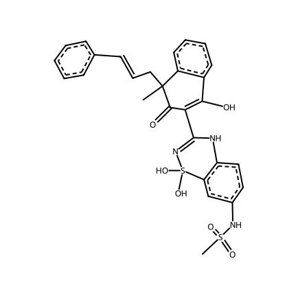 CC1(CC=Cc2ccccc2)C(=O)C(C2=NS(O)(O)c3cc(NS(C)(=O)=O)ccc3N2)=C(O)c2ccccc21